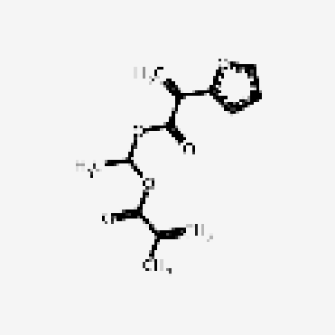 C=C(C)C(=O)OC(C)OC(=O)C(=C)c1ccco1